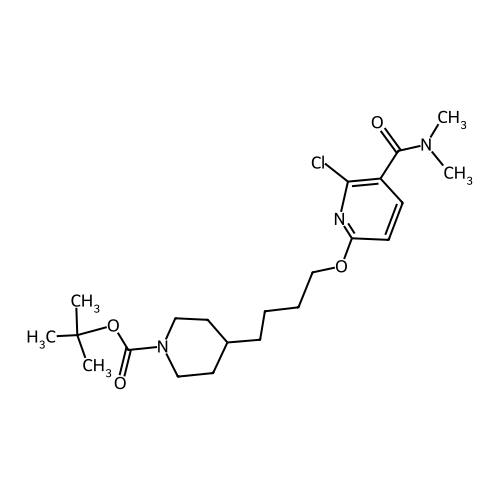 CN(C)C(=O)c1ccc(OCCCCC2CCN(C(=O)OC(C)(C)C)CC2)nc1Cl